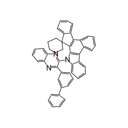 c1ccc(-c2cccc(-c3nc4ccccc4nc3-n3c4ccccc4c4c5ccccc5c5c(c43)C3(CCCCC3)c3ccccc3-5)c2)cc1